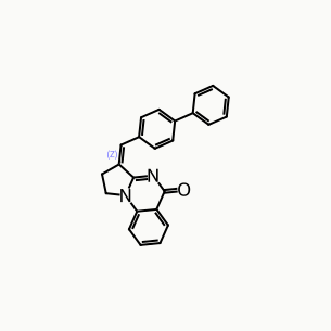 O=c1nc2n(c3ccccc13)CC/C2=C/c1ccc(-c2ccccc2)cc1